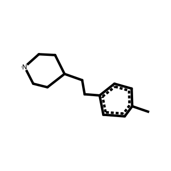 Cc1ccc(CCC2CC[N]CC2)cc1